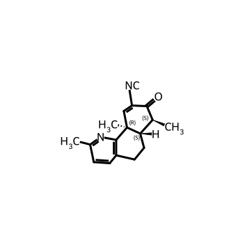 [C-]#[N+]C1=C[C@]2(C)c3nc(C)ccc3CC[C@H]2[C@H](C)C1=O